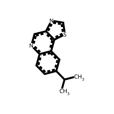 CC(C)c1ccc2ncc3ncsc3c2c1